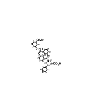 COc1cccc(CNC(=O)c2ccccc2-c2ccccc2C(=O)N(CCC(=O)O)CCc2ccncc2)c1